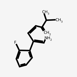 C=C(/C=C\C(=C/N)c1ccccc1F)C(C)C